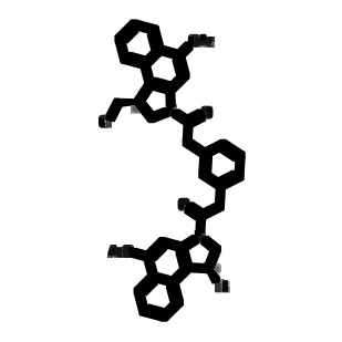 CC[C@@H]1CN(C(=O)Cc2cccc(CC(=O)N3C[C@@H](CCl)c4c3cc(OC(C)=O)c3ccccc43)c2)c2cc(OC(C)=O)c3ccccc3c21